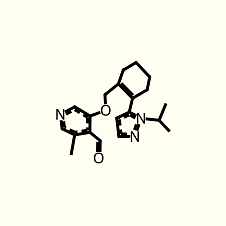 Cc1cncc(OCC2=C(c3ccnn3C(C)C)CCCC2)c1C=O